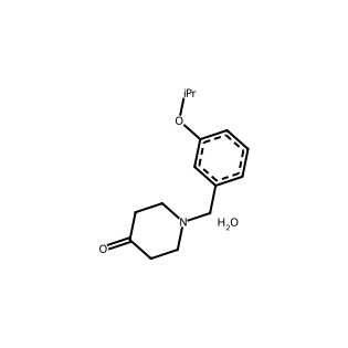 CC(C)Oc1cccc(CN2CCC(=O)CC2)c1.O